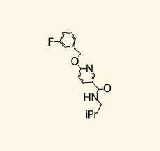 CC(C)CNC(=O)c1ccc(OCc2cccc(F)c2)nc1